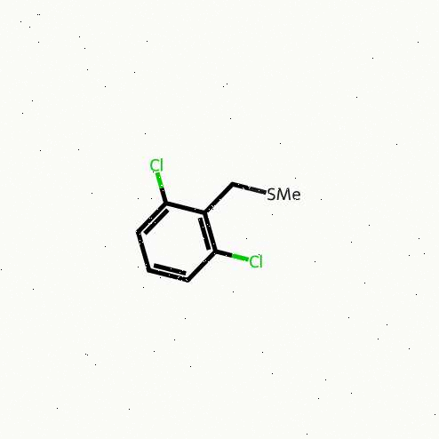 CSCc1c(Cl)cccc1Cl